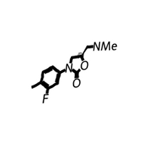 CNC[C@@H]1CN(c2ccc(C)c(F)c2)C(=O)O1